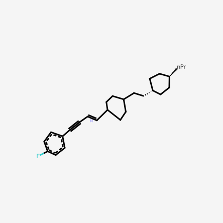 CCC[C@H]1CC[C@H](CCC2CCC(/C=C/C#Cc3ccc(F)cc3)CC2)CC1